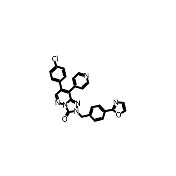 O=c1n(Cc2ccc(-c3ncco3)cc2)nc2c(-c3ccncc3)c(-c3ccc(Cl)cc3)cnn12